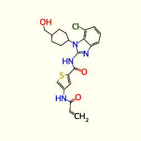 C=CC(=O)Nc1csc(C(=O)Nc2nc3cccc(Cl)c3n2C2CCC(CO)CC2)c1